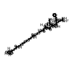 CC(C)C[C@H](NC(=O)[C@H](CCCCCN)NC(=O)[C@H](CO)NC(=O)[C@H](CCCNC(=N)N)NC(=O)OCc1ccccc1)C(=O)NCC(=O)NCCOCCOCC(=O)NCCCOCCOCCOCCCNC(=O)CCCCC1SC[C@@H]2NC(=O)N[C@H]12